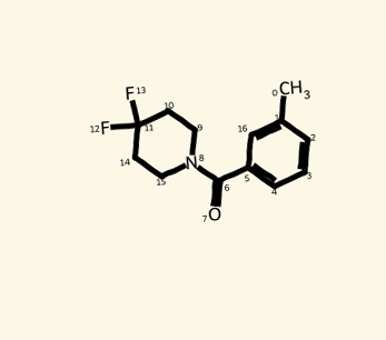 Cc1cccc(C(=O)N2CCC(F)(F)CC2)c1